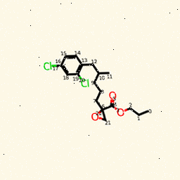 CCCOC(=O)C1(CCCC(C)Cc2ccc(Cl)cc2Cl)CO1